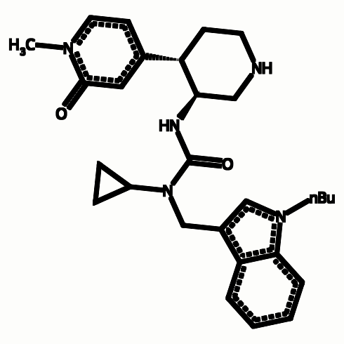 CCCCn1cc(CN(C(=O)N[C@@H]2CNCC[C@H]2c2ccn(C)c(=O)c2)C2CC2)c2ccccc21